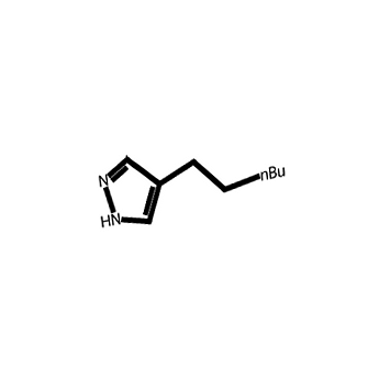 CCCCCCc1[c]n[nH]c1